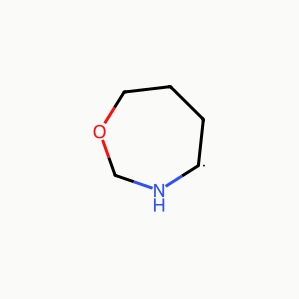 [CH]1CCCOCN1